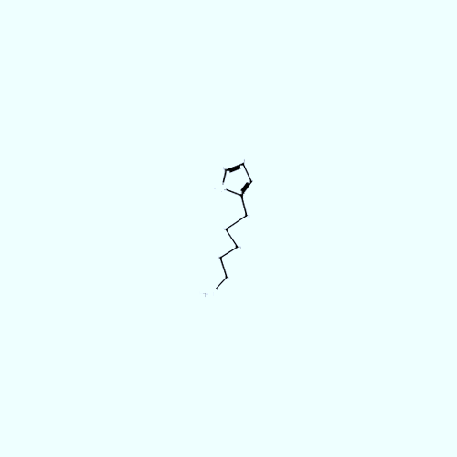 OCCCCCc1cccs1